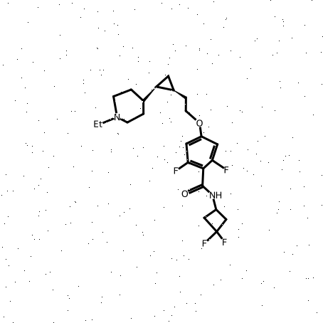 CCN1CCC([C@H]2C[C@H]2CCOc2cc(F)c(C(=O)NC3CC(F)(F)C3)c(F)c2)CC1